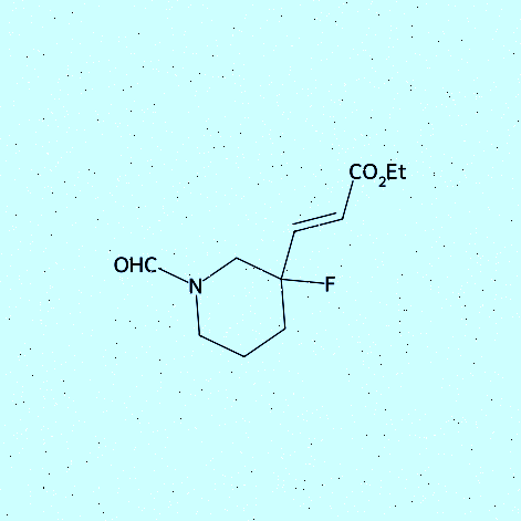 CCOC(=O)/C=C/C1(F)CCCN(C=O)C1